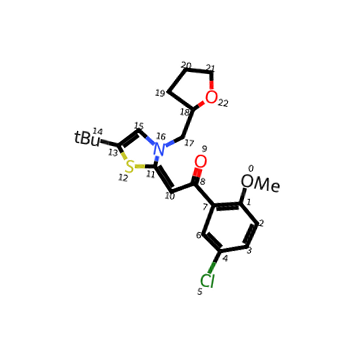 COc1ccc(Cl)cc1C(=O)C=C1SC(C(C)(C)C)=CN1CC1CCCO1